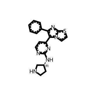 c1ccc(-c2nc3sccn3c2-c2ccnc(N[C@@H]3CCNC3)n2)cc1